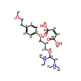 COCCc1ccc(OCCCOC(CN(C)C)N(C)C)cc1.O=C(O)/C=C\C(=O)O